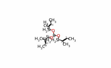 CC=C(C)[SiH2]OB(O[SiH2]C(C)=CC)O[SiH2]C(C)=CC